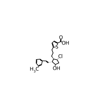 Cc1cccc(C=C[C@@H]2[C@@H](CCCc3ccc(C(=O)O)s3)[C@H](Cl)C[C@H]2O)c1